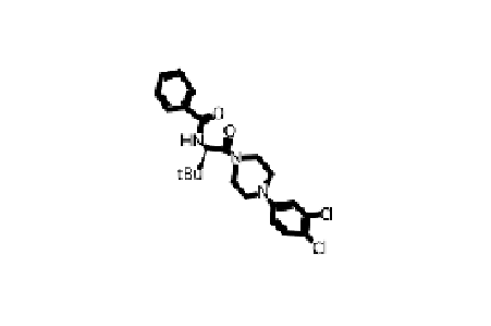 CC(C)(C)[C@@H](NC(=O)c1ccccc1)C(=O)N1CCN(c2ccc(Cl)c(Cl)c2)CC1